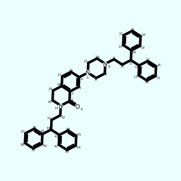 O=C1c2cc(N3CCN(CCC(c4ccccc4)c4ccccc4)CC3)ccc2CCN1CCC(c1ccccc1)c1ccccc1